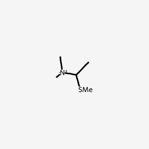 CSC(C)[N+](C)C